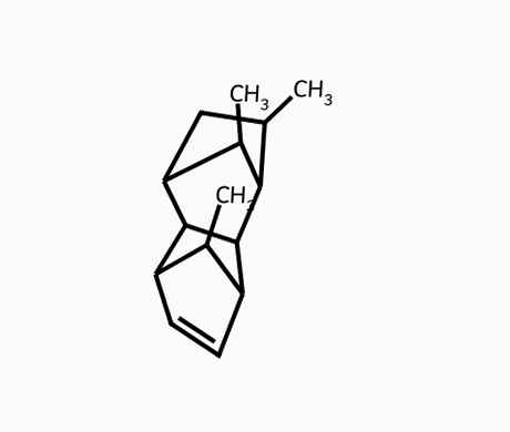 CC1CC2C(C)C1C1C3C=CC(C3C)C21